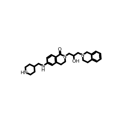 O=C1c2ccc(NCC3CCNCC3)cc2CCN1CC(O)CN1CCc2ccccc2C1